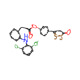 O=C(Cc1ccccc1Nc1c(Cl)cccc1Cl)Oc1ccc(-c2cc(=O)ss2)cc1